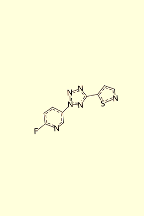 Fc1ccc(-n2nnc(-c3ccns3)n2)cn1